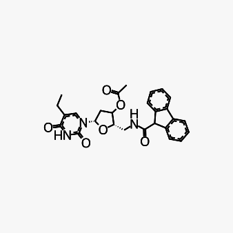 CCc1cn([C@@H]2CC(OC(C)=O)[C@H](CNC(=O)C3c4ccccc4-c4ccccc43)O2)c(=O)[nH]c1=O